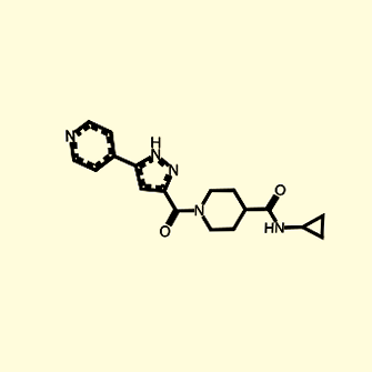 O=C(NC1CC1)C1CCN(C(=O)c2cc(-c3ccncc3)[nH]n2)CC1